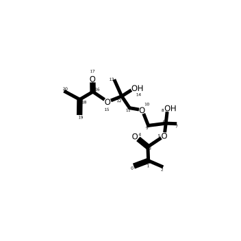 C=C(C)C(=O)OC(C)(O)COCC(C)(O)OC(=O)C(=C)C